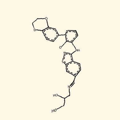 OCC(O)CN=Cc1ccc2c(Nc3cccc(-c4ccc5c(c4)OCCO5)c3Cl)nsc2c1